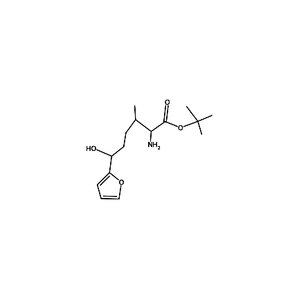 CC(CCC(O)c1ccco1)C(N)C(=O)OC(C)(C)C